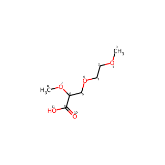 COCCOCC(OC)C(=O)O